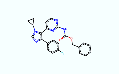 O=C(Nc1nccc(-c2c(-c3ccc(F)cc3)ncn2C2CC2)n1)OCc1ccccc1